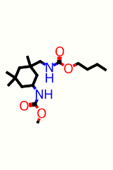 CCCCOC(=O)NCC1(C)CC(NC(=O)OC)CC(C)(C)C1